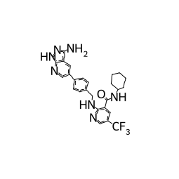 Nc1n[nH]c2ncc(-c3ccc(CNc4ncc(C(F)(F)F)cc4C(=O)NC4CCCCC4)cc3)cc12